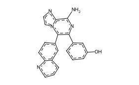 Nc1nc(-c2cccc(O)c2)c(-c2ccc3ncccc3c2)n2ccnc12